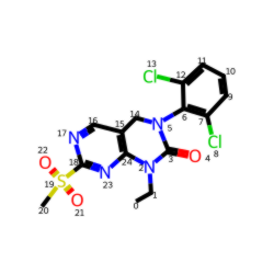 CCN1C(=O)N(c2c(Cl)cccc2Cl)Cc2cnc(S(C)(=O)=O)nc21